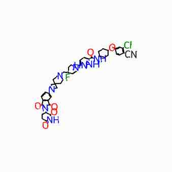 N#Cc1ccc(OC2CCC(NC(=O)C3=CC=C(N4CCC(F)(CN5CCC6(CC5)CN(c5ccc7c(c5)C(=O)N(C5CCC(=O)NC5=O)C7=O)C6)CC4)NN3)CC2)cc1Cl